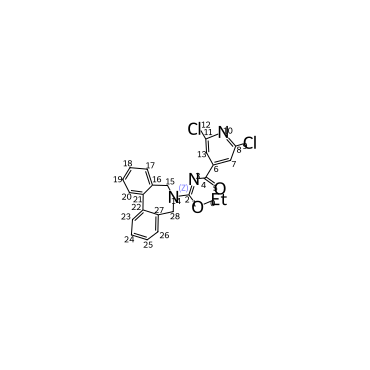 CCO/C(=N\C(=O)c1cc(Cl)nc(Cl)c1)N1Cc2ccccc2-c2ccccc2C1